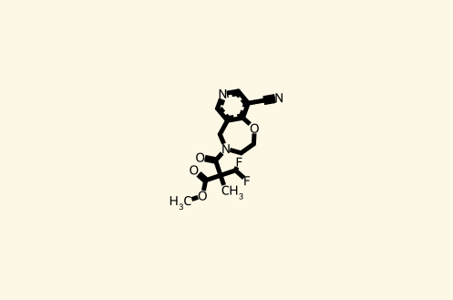 COC(=O)C(C)(C(=O)N1CCOc2c(C#N)cncc2C1)C(F)F